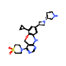 O=S1(=O)CCN(c2ncnc3c2COc2c(cc(C4CN([C@@H]5CCNC5)C4)cc2C2CC2)N3)CC1